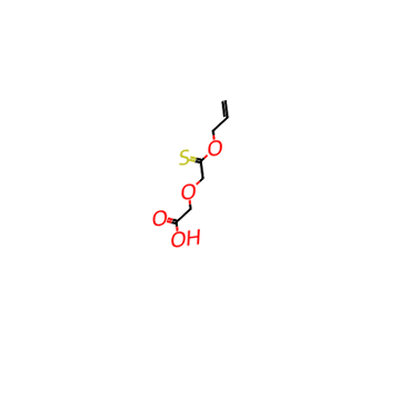 C=CCOC(=S)COCC(=O)O